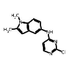 Cc1cc2cc(Nc3ccnc(Cl)n3)ccc2n1C